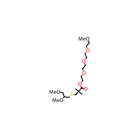 COCCOCCOCCOCCOC(=O)C(C)(C)CSCC(COC)OC